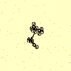 COc1ccc(C=Nn2c(C)nnc2SCCCCCOc2c(-c3cc(OC)c(OC)c(OC)c3)oc3cc(OC)cc(OC)c3c2=O)cc1